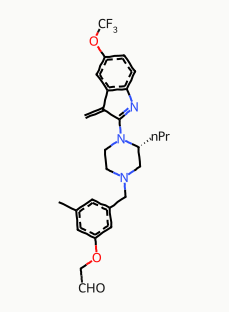 C=C1C(N2CCN(Cc3cc(C)cc(OCC=O)c3)C[C@H]2CCC)=Nc2ccc(OC(F)(F)F)cc21